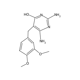 COc1ccc(Cc2c(N)nc(N)nc2O)cc1OC